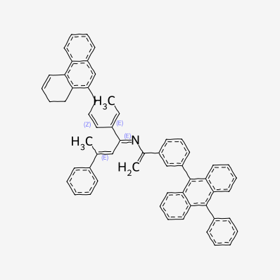 C=C(/N=C(\C=C(/C)c1ccccc1)C(/C=C\Cc1cc2ccccc2c2c1CCC=C2)=C/C)c1cccc(-c2c3ccccc3c(-c3ccccc3)c3ccccc23)c1